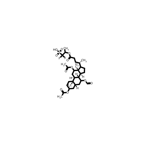 CC(=O)OC1CC[C@@]2(C)[C@@H](C1)CC(OC=O)[C@H]1[C@@H]3CCC([C@@H](C)CCC(=O)OC(C)C(F)(F)S(=O)(=O)O)[C@@]3(C)C(OC(C)=O)C[C@@H]12